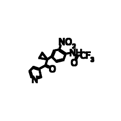 O=C(Nc1ccc(C2(C(=O)c3cccnc3)CC2)cc1[N+](=O)[O-])C(F)(F)F